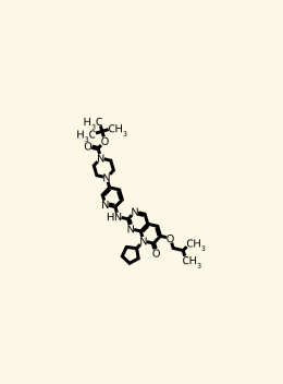 CC(C)COc1cc2cnc(Nc3ccc(N4CCN(C(=O)OC(C)(C)C)CC4)cn3)nc2n(C2CCCC2)c1=O